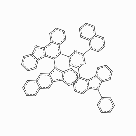 c1ccc(-n2c3ccccc3c3c(-c4nc(-c5cccc6ccccc56)nc(-c5c(-n6c7ccccc7c7cc8ccccc8cc76)c6c7ccccc7oc6c6ccccc56)n4)cccc32)cc1